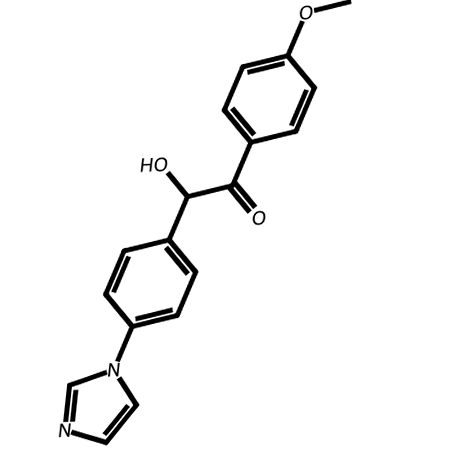 COc1ccc(C(=O)C(O)c2ccc(-n3ccnc3)cc2)cc1